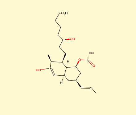 C/C=C/[C@H]1C[C@H]2C=C(O)[C@@H](C)[C@@H](CC[C@H](O)CCCC(=O)O)[C@H]2[C@@H](OC(=O)[C@@H](C)CC)C1